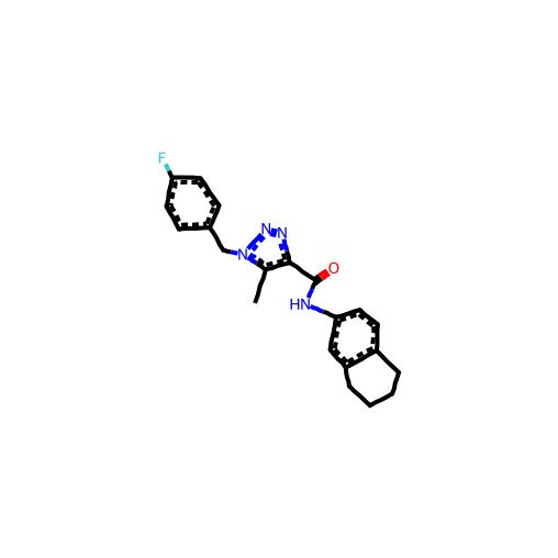 Cc1c(C(=O)Nc2ccc3c(c2)CCCC3)nnn1Cc1ccc(F)cc1